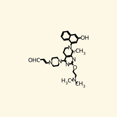 C[C@@H]1c2nc(OCCN(C)C)nc(N3CCN(C=CC=O)CC3)c2CCN1c1cc(O)cc2ccccc12